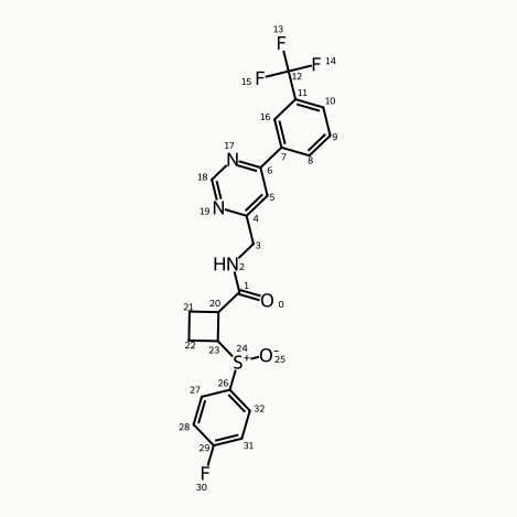 O=C(NCc1cc(-c2cccc(C(F)(F)F)c2)ncn1)C1CCC1[S+]([O-])c1ccc(F)cc1